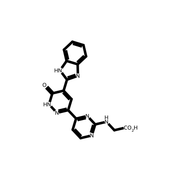 O=C(O)CNc1nccc(-c2cc(-c3nc4ccccc4[nH]3)c(=O)[nH]n2)n1